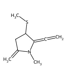 C=C=C1C(SC)CC(=C)N1C